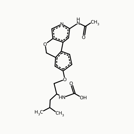 CC(=O)Nc1cc2c(cn1)OCc1cc(OCC(CC(C)C)NC(=O)O)ccc1-2